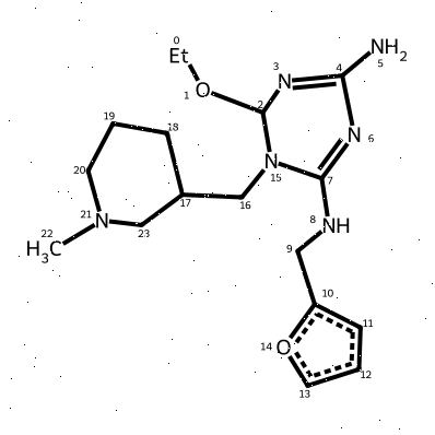 CCOC1N=C(N)N=C(NCc2ccco2)N1CC1CCCN(C)C1